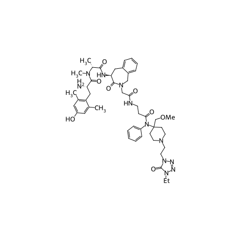 CCn1nnn(CCN2CCC(COC)(N(C(=O)CCNC(=O)CN3Cc4ccccc4C[C@H](NC(=O)[C@@H](C)N(C)C(=O)[C@@H](N)Cc4c(C)cc(O)cc4C)C3=O)c3ccccc3)CC2)c1=O